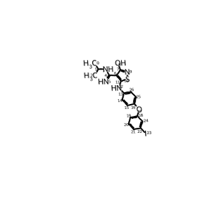 CC(C)NC(=N)c1c(O)nsc1Nc1ccc(Oc2cccc(I)c2)cc1